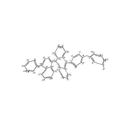 Cc1cc(-c2ccc(-c3c4ccccc4c(-c4ccc(-c5cccnc5)c5ccccc45)c4ccccc34)cc2)ccn1